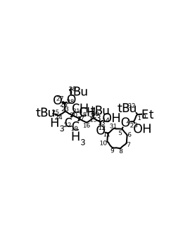 CCC(C(O)OC1CCCCCC(OC(O)C(CC(C)(C)C(C)(C)C(CC(C)(C)C)C(=O)OC(C)(C)C)C(C)(C)C)C1)C(C)(C)C